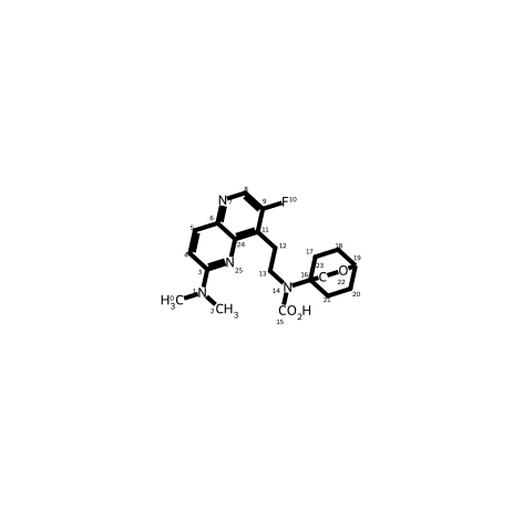 CN(C)c1ccc2ncc(F)c(CCN(C(=O)O)C34CCC(CC3)OC4)c2n1